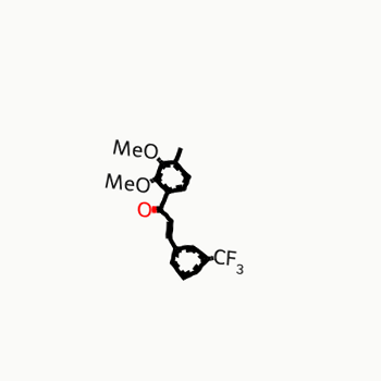 COc1c(C)ccc(C(=O)/C=C/c2cccc(C(F)(F)F)c2)c1OC